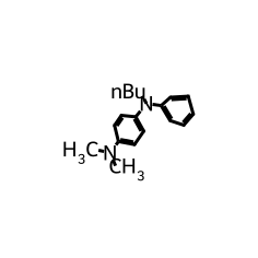 CCCCN(c1ccccc1)c1ccc(N(C)C)cc1